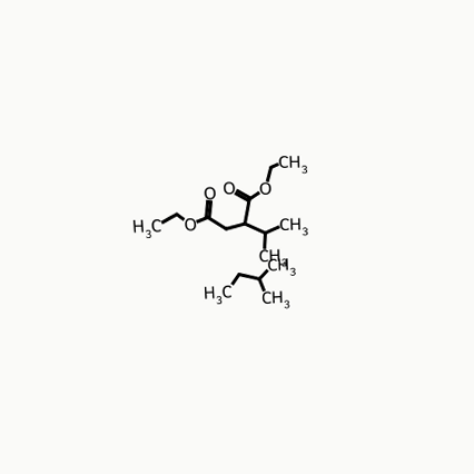 CCC(C)C.CCOC(=O)CC(C(=O)OCC)C(C)C